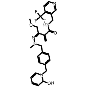 C=C(C(=O)NCc1cnccc1C(F)(F)F)/C(COC)=N\N(C)Cc1ccc(CN2C=CC=CC2O)cc1